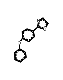 c1ccc(Oc2ccc(-c3ncco3)cc2)cc1